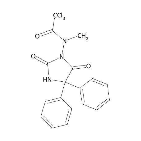 CN(C(=O)C(Cl)(Cl)Cl)N1C(=O)NC(c2ccccc2)(c2ccccc2)C1=O